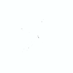 CCCCCCCCCCCCCCC(C(=O)C(CCCCCCCCCCCCCC)C(CCCCCCCCCCCCCC)(CCCCCCCCCCCCCC)CCCCCCCCCCCCCC)C(CCCCCCCCCCCCCC)(CCCCCCCCCCCCCC)CCCCCCCCCCCCCC